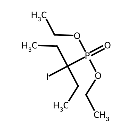 CCOP(=O)(OCC)C(I)(CC)CC